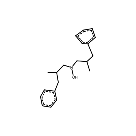 CC(Cc1ccccc1)CN(O)CC(C)Cc1ccccc1